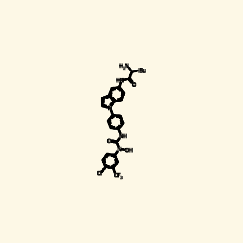 CC[C@H](C)[C@H](N)C(=O)Nc1ccc2c(ccn2-c2ccc(NC(=O)N(O)c3ccc(Cl)c(C(F)(F)F)c3)cc2)c1